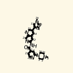 CN1CCN(c2cc(C(=O)Nc3cc4cc(-c5cn(C)nn5)cnc4cn3)ccn2)CC1